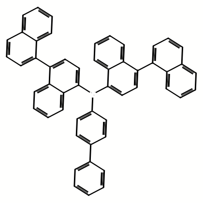 c1ccc(-c2ccc(N(c3ccc(-c4cccc5ccccc45)c4ccccc34)c3ccc(-c4cccc5ccccc45)c4ccccc34)cc2)cc1